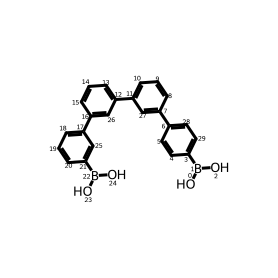 OB(O)c1ccc(-c2cccc(-c3cccc(-c4cccc(B(O)O)c4)c3)c2)cc1